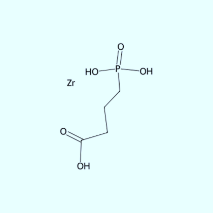 O=C(O)CCCP(=O)(O)O.[Zr]